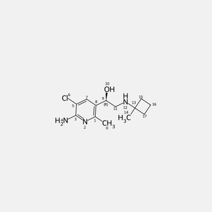 Cc1nc(N)c(Cl)cc1[C@@H](O)CNC1(C)CCC1